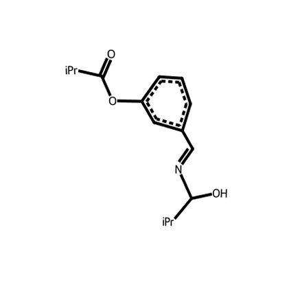 CC(C)C(=O)Oc1cccc(C=NC(O)C(C)C)c1